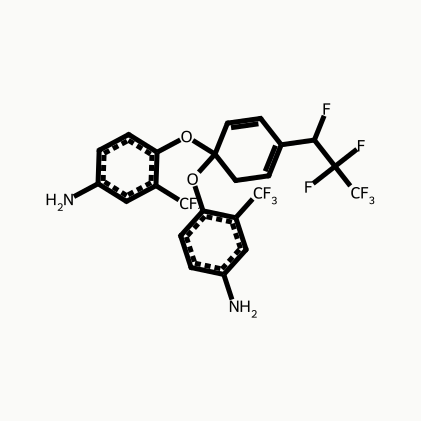 Nc1ccc(OC2(Oc3ccc(N)cc3C(F)(F)F)C=CC(C(F)C(F)(F)C(F)(F)F)=CC2)c(C(F)(F)F)c1